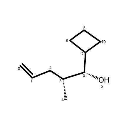 C=CC[C@@H](C)[C@@H](O)C1CCC1